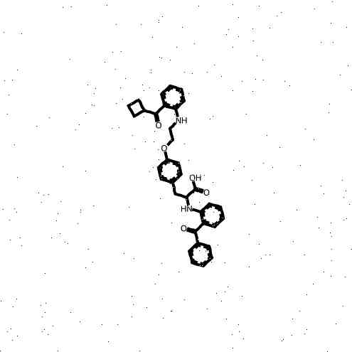 O=C(c1ccccc1)c1ccccc1NC(Cc1ccc(OCCNc2ccccc2C(=O)C2CCC2)cc1)C(=O)O